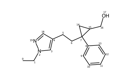 CCn1cc(CCC2(c3ccccc3)CC2CO)cn1